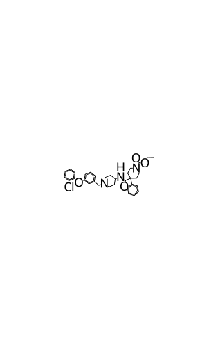 CCOC(=O)N1CCC(C(=O)NC2CCN(Cc3cccc(Oc4ccccc4Cl)c3)CC2)(c2ccccc2)CC1